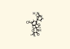 Nc1nccc(-c2cc(Cl)cc3c2OCC32COC3(CC3)C(=O)N2)n1